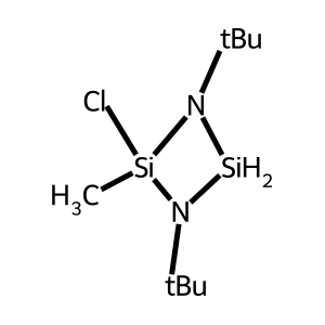 CC(C)(C)N1[SiH2]N(C(C)(C)C)[Si]1(C)Cl